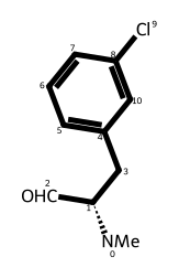 CN[C@H](C=O)Cc1cccc(Cl)c1